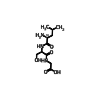 CC(C)C[C@H](N)C(=O)NC(CO)C(=O)NCC(=O)O